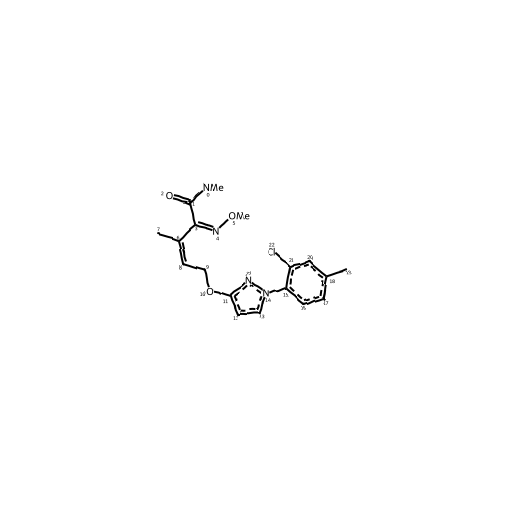 CNC(=O)C(=NOC)C(C)=CCOc1ccn(-c2ccc(C)cc2Cl)n1